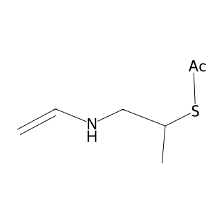 C=CNCC(C)SC(C)=O